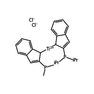 CC(C)P(C1=Cc2ccccc2[CH]1[Ti+2][CH]1C(P(C)C)=Cc2ccccc21)C(C)C.[Cl-].[Cl-]